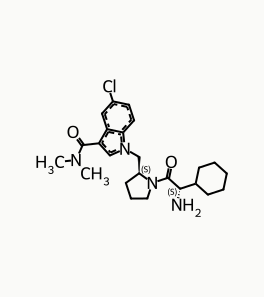 CN(C)C(=O)c1cn(C[C@@H]2CCCN2C(=O)[C@@H](N)C2CCCCC2)c2ccc(Cl)cc12